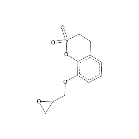 O=S1(=O)CCc2cccc(OCC3CO3)c2O1